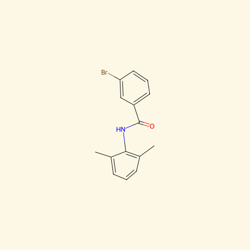 Cc1cccc(C)c1NC(=O)c1cccc(Br)c1